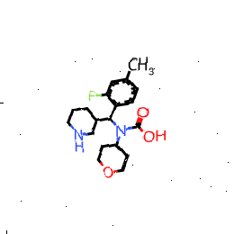 Cc1ccc(C(C2CCCNC2)N(C(=O)O)C2CCOCC2)c(F)c1